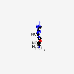 CN(C)Cc1cc(C#N)cc(OC2CCN(C3CC(CC#N)(n4cc(-c5ncnc6[nH]ccc56)cn4)C3)CC2)c1